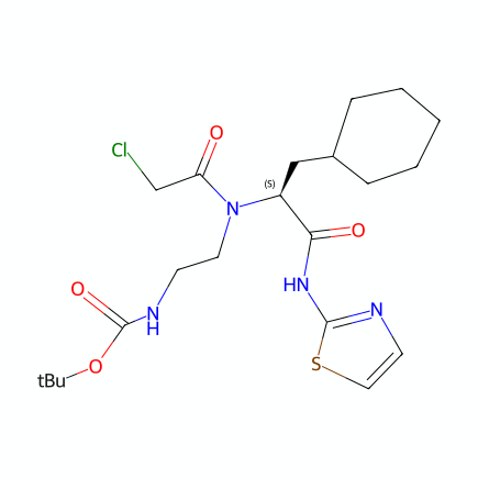 CC(C)(C)OC(=O)NCCN(C(=O)CCl)[C@@H](CC1CCCCC1)C(=O)Nc1nccs1